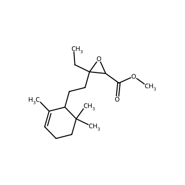 CCC1(CCC2C(C)=CCCC2(C)C)OC1C(=O)OC